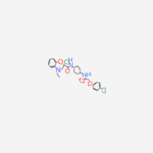 CCN1CC(Cl)(C(=O)NC2CCC(NC(=O)COc3ccc(Cl)cc3)CC2)Oc2ccccc21